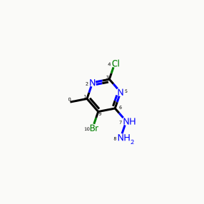 Cc1nc(Cl)nc(NN)c1Br